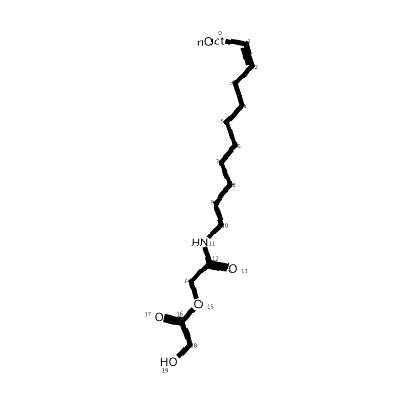 CCCCCCCC/C=C\CCCCCCCCNC(=O)COC(=O)CO